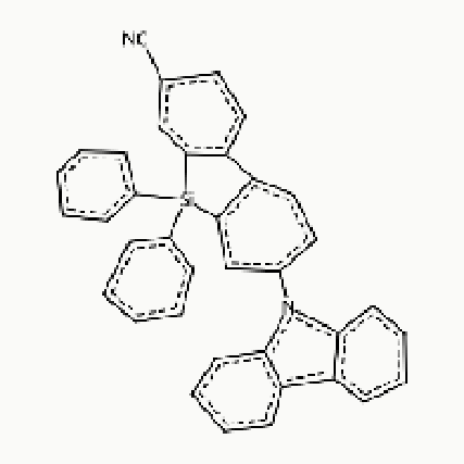 N#Cc1ccc2c(c1)[Si](c1ccccc1)(c1ccccc1)c1cc(-n3c4ccccc4c4ccccc43)ccc1-2